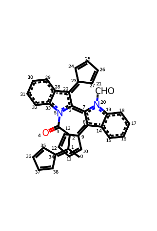 CC(CC(=O)n1/c(=c2\c(=C3C=CC=C3)c3ccccc3n2C=O)c(=C2C=CC=C2)c2ccccc21)=C1C=CC=C1